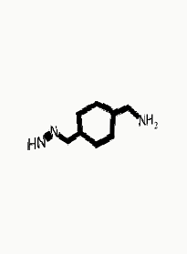 N=NCC1CCC(CN)CC1